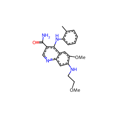 COCCNc1cc2ncc(C(N)=O)c(Nc3ccccc3C)c2cc1OC